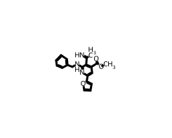 COC(=O)c1cc(-c2ccco2)nc(NCc2ccccc2)c1C(C)=N